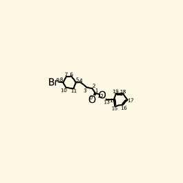 O=C(CCCC1CCC(Br)CC1)OCc1ccccc1